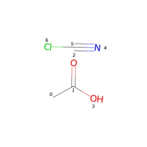 CC(=O)O.N#CCl